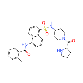 Cc1ccccc1C(=O)Nc1cccc2c(S(=O)(=O)N[C@@H]3CCN(C(=O)[C@@H]4CCCN4)C[C@H]3C)cccc12